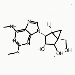 CNc1nc(SC)nc2c1ncn2[C@@H]1[C@H]2C[C@@]2(CO)C(O)[C@@H]1O